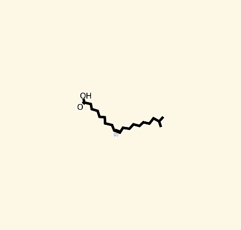 CC(C)CCCCCCC/C=C\CCCCCCCC(=O)O